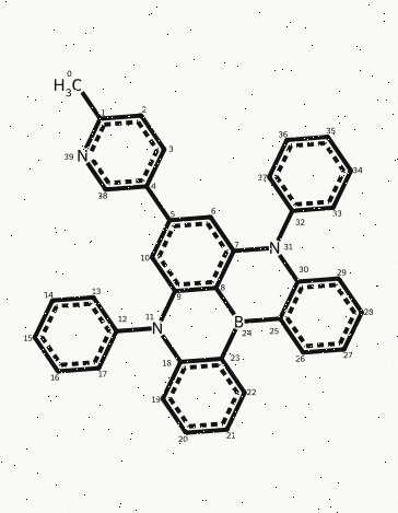 Cc1ccc(-c2cc3c4c(c2)N(c2ccccc2)c2ccccc2B4c2ccccc2N3c2ccccc2)cn1